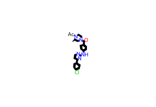 CC(=O)N1CCN(C(=O)c2ccc(Nc3nccc(-c4ccc(Cl)cc4)n3)cc2)C[C@H]1C